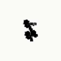 C=Cc1ccc(C=C)cc1.CCOC(=O)N1c2ccccc2C=CC1OCC.CCOC(=O)N1c2ccccc2C=CC1OCC